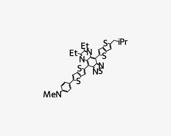 CCc1nc2c(-c3cc4sc(CC(C)C)cc4s3)c3nsnc3c(-c3cc4sc(-c5ccc(NC)cc5)cc4s3)c2nc1CC